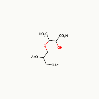 CC(=O)OCC(COC(C(=O)O)C(O)C(=O)O)OC(C)=O